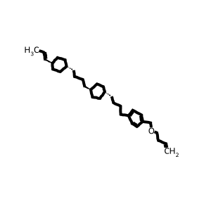 C=CCCOCc1ccc(CCCC[C@H]2CC[C@H](CCCC[C@H]3CC[C@H](C=CC)CC3)CC2)cc1